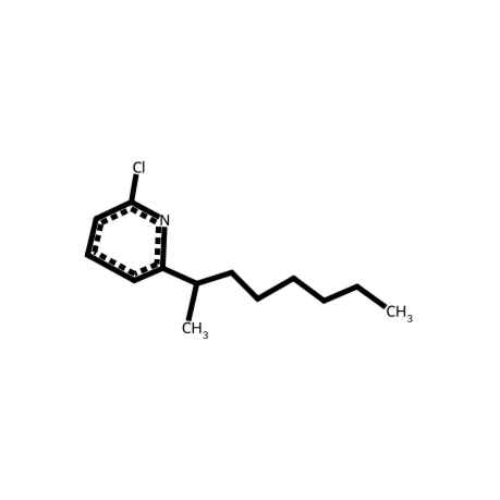 CCCCCCC(C)c1cccc(Cl)n1